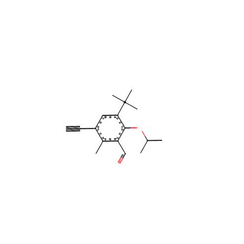 C#Cc1cc(C(C)(C)C)c(OC(C)C)c(C=O)c1C